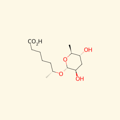 C[C@H](CCCCC(=O)O)O[C@@H]1O[C@@H](C)[C@H](O)C[C@H]1O